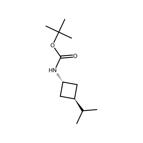 CC(C)[C@H]1C[C@H](NC(=O)OC(C)(C)C)C1